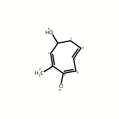 CC1=C/C(O)C/C=C/C=C\1Cl